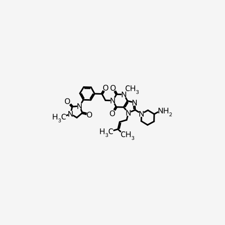 CC(C)=CCn1c(N2CCCC(N)C2)nc2c1c(=O)n(CC(=O)c1cccc(N3C(=O)CN(C)C3=O)c1)c(=O)n2C